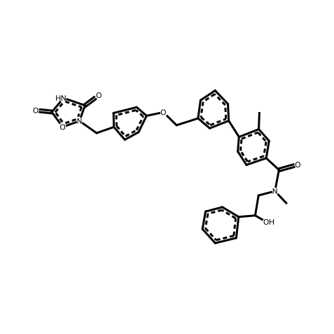 Cc1cc(C(=O)N(C)CC(O)c2ccccc2)ccc1-c1cccc(COc2ccc(Cn3oc(=O)[nH]c3=O)cc2)c1